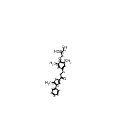 Cc1cc(CCC(=O)c2cc(-c3ccccc3)c(C)s2)cc(C)c1OC[C@@H](O)CO